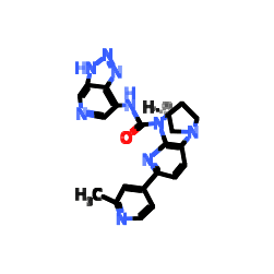 Cc1cc(-c2ccc3c(n2)N(C(=O)Nc2cncc4[nH]nnc24)[C@H]2CCN3C2)ccn1